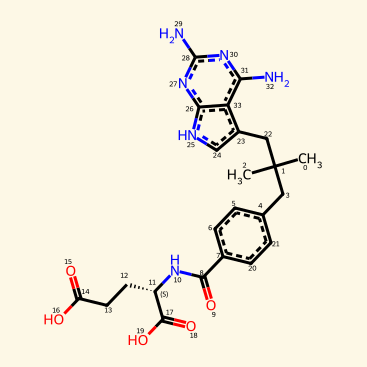 CC(C)(Cc1ccc(C(=O)N[C@@H](CCC(=O)O)C(=O)O)cc1)Cc1c[nH]c2nc(N)nc(N)c12